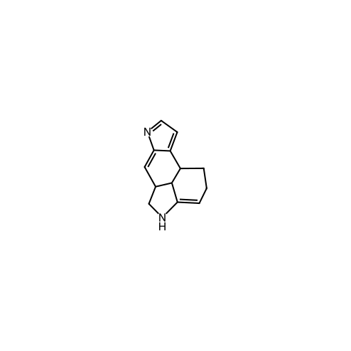 C1=NC2=CC3CNC4=CCCC(C2=C1)C43